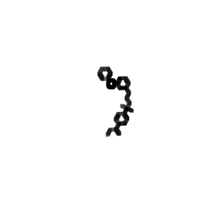 C=C(CC)c1ccc(C(C)(C)CCCc2cccc(Oc3ccccc3)c2)cc1